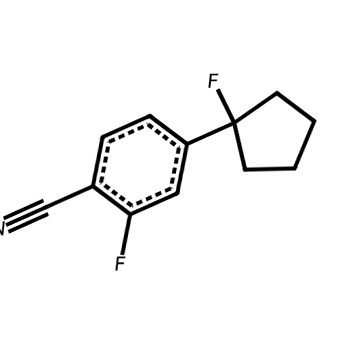 N#Cc1ccc(C2(F)CCCC2)cc1F